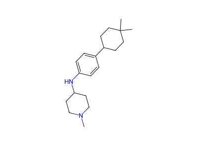 CN1CCC(Nc2ccc(C3CCC(C)(C)CC3)cc2)CC1